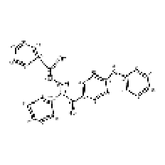 O=C(ONC(C(=O)c1ccc(Sc2ccccc2)cc1)c1ccccc1)c1ccccc1